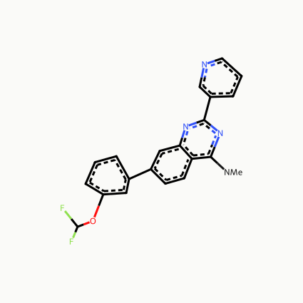 CNc1nc(-c2cccnc2)nc2cc(-c3cccc(OC(F)F)c3)ccc12